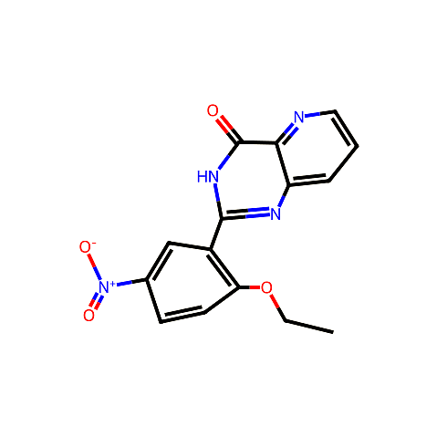 CCOc1ccc([N+](=O)[O-])cc1-c1nc2cccnc2c(=O)[nH]1